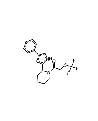 O=C(CSC(F)(F)F)N1CCCCC1c1nc(-c2ccccc2)c[nH]1